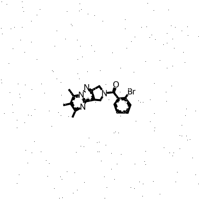 Cc1nc2c3c(nn2c(C)c1C)CN(C(=O)c1ccccc1Br)C3